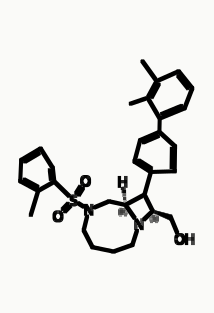 Cc1ccccc1S(=O)(=O)N1CCCCN2[C@H](CO)C(c3ccc(-c4cccc(C)c4C)cc3)[C@@H]2C1